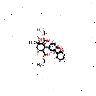 CCOC(=O)C1C(=O)CC(C)(O)C(C(=O)OCC)C1c1ccc2oc3c(c2c1)CCCC3